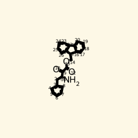 N[C@@H](Cc1ccccc1)C(=O)C(=O)OCC1c2ccccc2-c2ccccc21